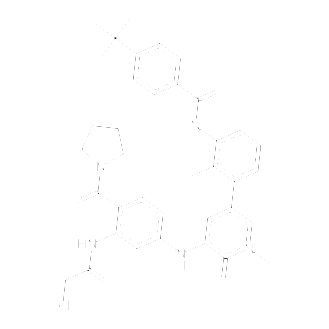 Cc1c(NC(=O)c2ccc(C(C)(C)C)cc2)cccc1-c1cc(Nc2ccc(C(=O)N3CCCC3)c(NC(=O)CCl)c2)c(=O)n(C)c1